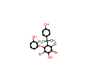 CC(C)(c1ccc(O)cc1)c1c(Br)c(Br)c(O)c(Br)c1Br.Oc1ccccc1